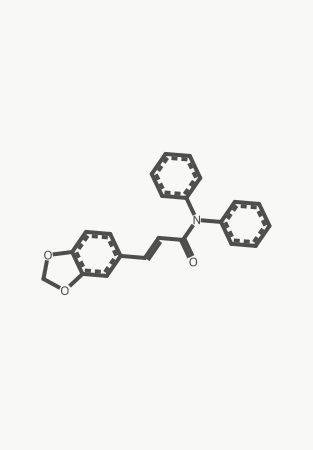 O=C(/C=C/c1ccc2c(c1)OCO2)N(c1ccccc1)c1ccccc1